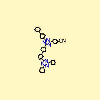 N#Cc1ccc(-c2nc(-c3ccc(-c4ccccc4)cc3)nc(-c3ccc(-c4cccc(-c5nc(-c6ccccc6)nc(-c6ccccc6)n5)c4)cc3)n2)cc1